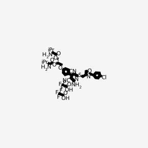 CC(C)C(N)C(=O)O[C@H](COC(=O)[C@@H](N)C(C)C)COc1ccc(-c2c(C#N)c(N)nc(SCc3coc(-c4ccc(Cl)cc4)n3)c2C#N)cc1.O=C(O)C(F)(F)F.O=C(O)C(F)(F)F